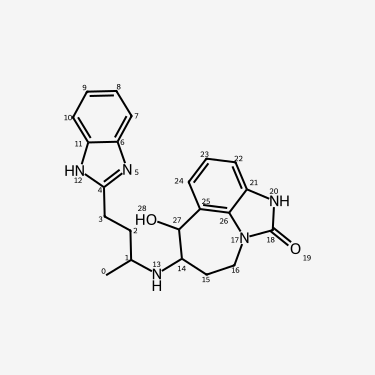 CC(CCc1nc2ccccc2[nH]1)NC1CCn2c(=O)[nH]c3cccc(c32)C1O